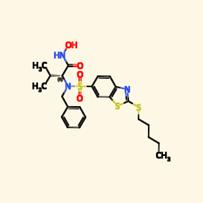 CCCCCSc1nc2ccc(S(=O)(=O)N(Cc3ccccc3)[C@@H](C(=O)NO)C(C)C)cc2s1